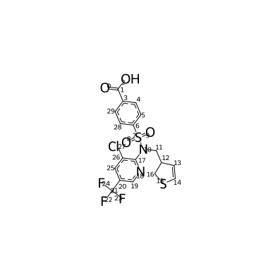 O=C(O)c1ccc(S(=O)(=O)N(CC2C=CSC2)c2ncc(C(F)(F)F)cc2Cl)cc1